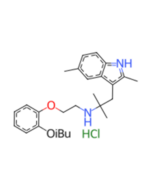 Cc1ccc2[nH]c(C)c(CC(C)(C)NCCOc3ccccc3OCC(C)C)c2c1.Cl